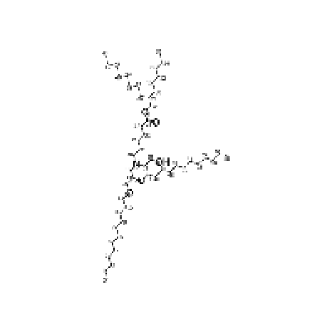 CCCCCCCCCCCCOCC(CN(CCO)CCCCCC(=O)OCC(CCCCCC)CCCCCCCC)OCCCCCCCCCCCC